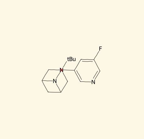 CC(C)(C)N1CC2CC(C1)N2Cc1cncc(F)c1